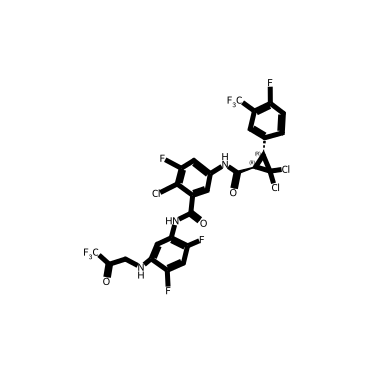 O=C(Nc1cc(NCC(=O)C(F)(F)F)c(F)cc1F)c1cc(NC(=O)[C@H]2[C@H](c3ccc(F)c(C(F)(F)F)c3)C2(Cl)Cl)cc(F)c1Cl